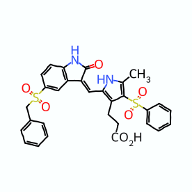 Cc1[nH]c(/C=C2\C(=O)Nc3ccc(S(=O)(=O)Cc4ccccc4)cc32)c(CCC(=O)O)c1S(=O)(=O)c1ccccc1